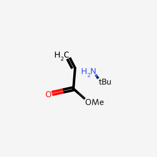 C=CC(=O)OC.CC(C)(C)N